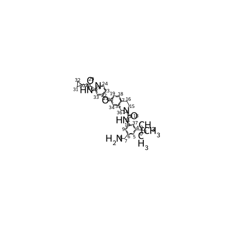 CC(C)(C)c1cc(CN)cc(NC(=O)N2CCc3ccc(Oc4ccnc(NC(=O)C5CC5)c4)cc3C2)c1